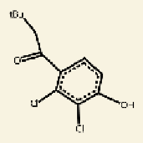 CC(C)(C)CC(=O)c1ccc(O)c(Cl)c1Cl